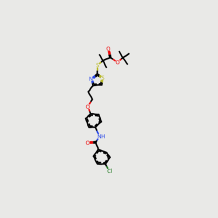 CC(C)(C)OC(=O)C(C)(C)Sc1nc(CCOc2ccc(NC(=O)c3ccc(Cl)cc3)cc2)cs1